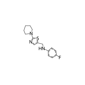 Fc1ccc(NCc2cnc(N3CCCCC3)s2)cc1